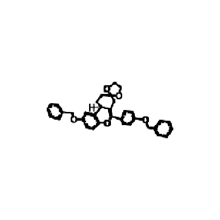 c1ccc(COc2ccc(C3=C4CC5(CC[C@@H]4c4cc(OCc6ccccc6)ccc4O3)OCCO5)cc2)cc1